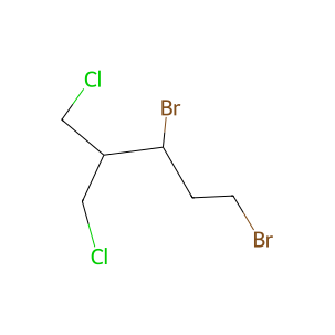 ClCC(CCl)C(Br)CCBr